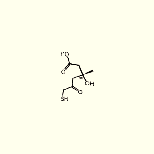 C[C@](O)(CC(=O)O)CC(=O)CS